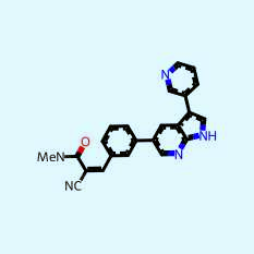 CNC(=O)C(C#N)=Cc1cccc(-c2cnc3[nH]cc(-c4cccnc4)c3c2)c1